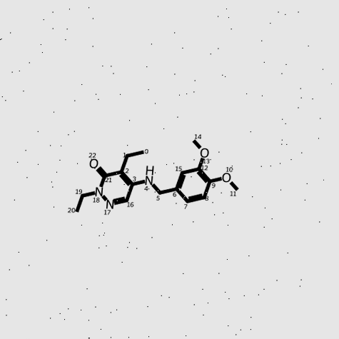 CCc1c(NCc2ccc(OC)c(OC)c2)cnn(CC)c1=O